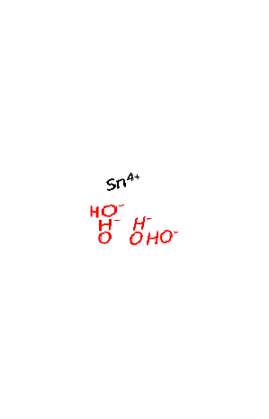 [OH-].[OH-].[OH-].[OH-].[Sn+4]